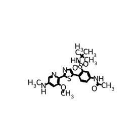 CNc1cnc(-c2ncc(-c3ccc(NC(C)=O)cc3S(=O)(=O)NC(C)(C)C)s2)c(OC)c1